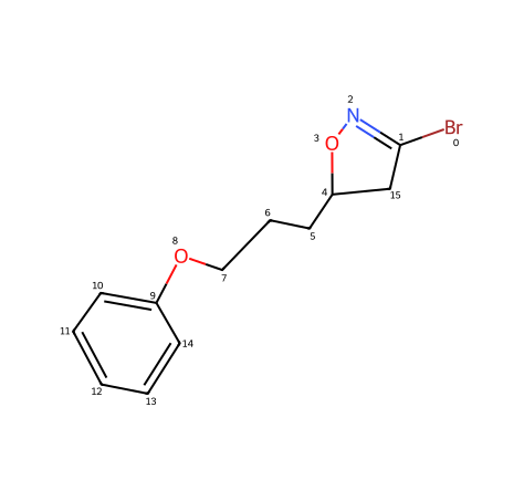 BrC1=NOC(CCCOc2ccccc2)C1